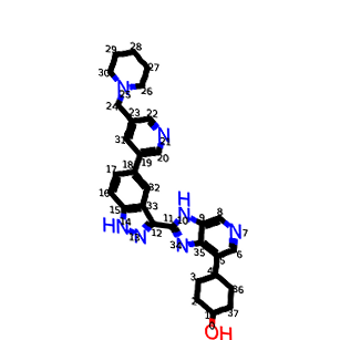 OC1CCC(c2cncc3[nH]c(-c4n[nH]c5ccc(-c6cncc(CN7CCCCC7)c6)cc45)nc23)CC1